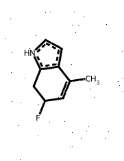 CC1=CC(F)Cc2[nH]ccc21